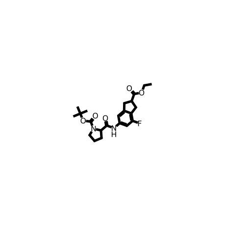 CCOC(=O)C1Cc2cc(NC(=O)C3CCCN3C(=O)OC(C)(C)C)cc(F)c2C1